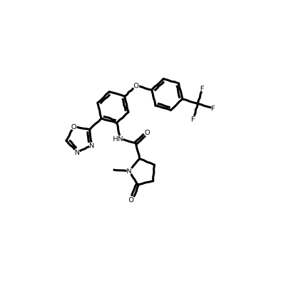 CN1C(=O)CCC1C(=O)Nc1cc(Oc2ccc(C(F)(F)F)cc2)ccc1-c1nnco1